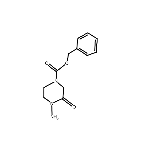 NN1CCN(C(=O)OCc2ccccc2)CC1=O